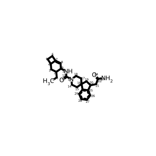 CCC1CC2CCC2=CC1NC(=O)N1CCC2(CC1)CC(CC(N)=O)c1ccccc12